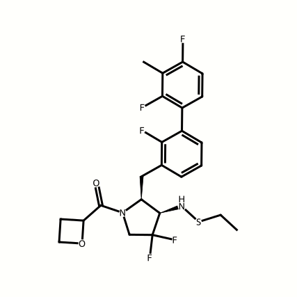 CCSN[C@@H]1[C@H](Cc2cccc(-c3ccc(F)c(C)c3F)c2F)N(C(=O)C2CCO2)CC1(F)F